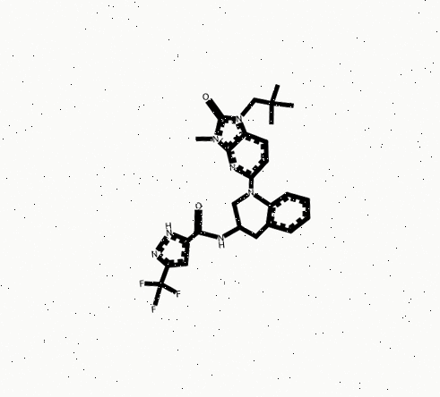 Cn1c(=O)n(CC(C)(C)C)c2ccc(N3CC(NC(=O)c4cc(C(F)(F)F)n[nH]4)Cc4ccccc43)nc21